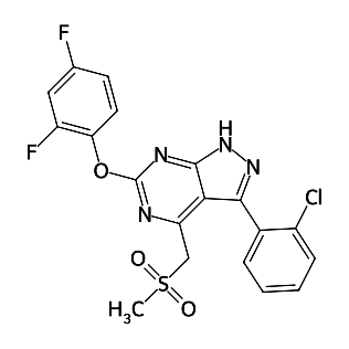 CS(=O)(=O)Cc1nc(Oc2ccc(F)cc2F)nc2[nH]nc(-c3ccccc3Cl)c12